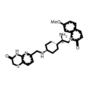 COc1ccc2ccc(=O)n(C[C@H](N)[C@H]3CC[C@H](NCc4ccc5c(n4)NC(=O)CS5)CC3)c2c1